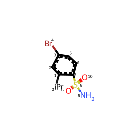 CC(C)c1cc(Br)ccc1S(N)(=O)=O